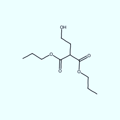 CCCOC(=O)C(CCO)C(=O)OCCC